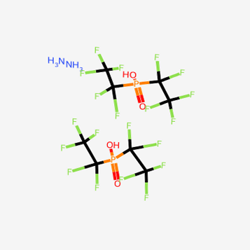 N.N.O=P(O)(C(F)(F)C(F)(F)F)C(F)(F)C(F)(F)F.O=P(O)(C(F)(F)C(F)(F)F)C(F)(F)C(F)(F)F